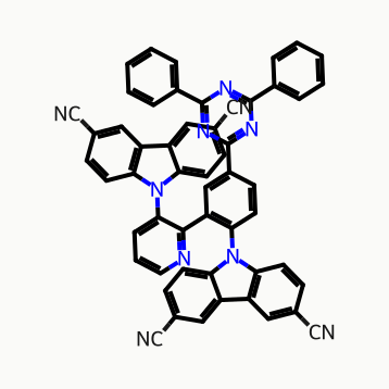 N#Cc1ccc2c(c1)c1cc(C#N)ccc1n2-c1ccc(-c2nc(-c3ccccc3)nc(-c3ccccc3)n2)cc1-c1ncccc1-n1c2ccc(C#N)cc2c2cc(C#N)ccc21